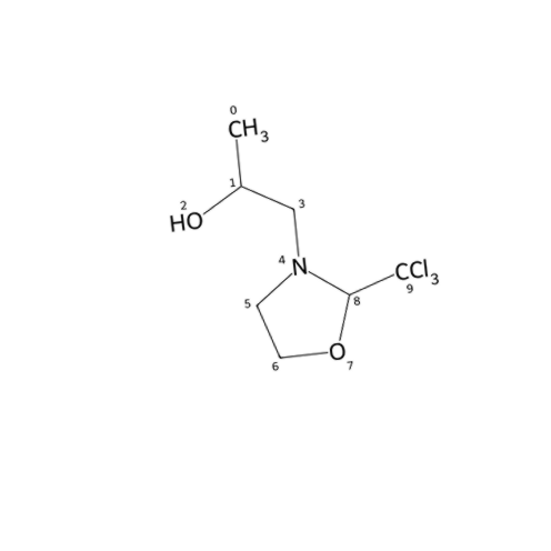 CC(O)CN1CCOC1C(Cl)(Cl)Cl